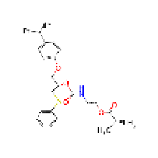 C=C(C)C(=O)OCCNC(=O)OC(COc1ccc(C(C(C)C)C(C)C)cc1)CSc1ccccc1